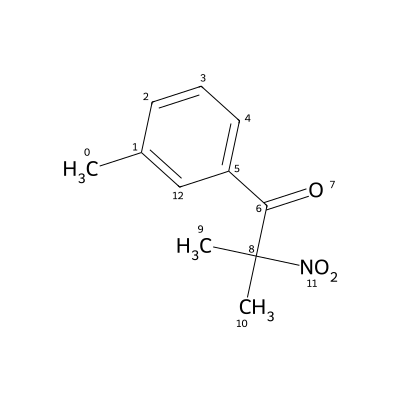 Cc1cccc(C(=O)C(C)(C)[N+](=O)[O-])c1